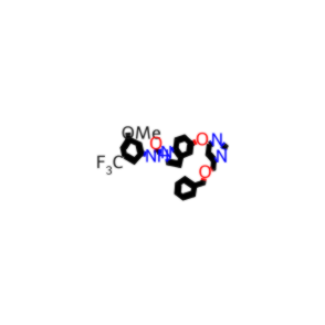 COc1cc(NC(=O)n2ccc3cc(Oc4cc(COCc5ccccc5)ncn4)ccc32)cc(C(F)(F)F)c1